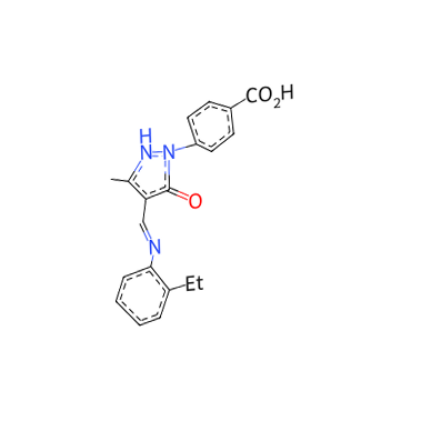 CCc1ccccc1N=Cc1c(C)[nH]n(-c2ccc(C(=O)O)cc2)c1=O